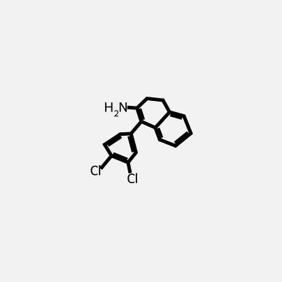 NC1=C(c2ccc(Cl)c(Cl)c2)c2ccccc2CC1